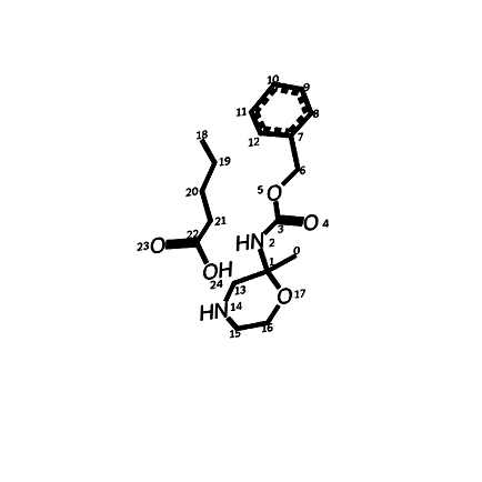 CC1(NC(=O)OCc2ccccc2)CNCCO1.CCCCC(=O)O